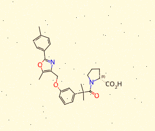 Cc1ccc(-c2nc(COc3cccc(C(C)(C)C(=O)N4CCC[C@@H]4C(=O)O)c3)c(C)o2)cc1